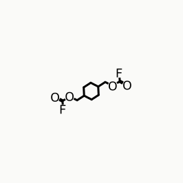 O=C(F)OCC1CCC(COC(=O)F)CC1